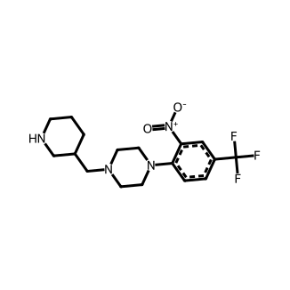 O=[N+]([O-])c1cc(C(F)(F)F)ccc1N1CCN(CC2CCCNC2)CC1